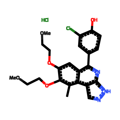 COCCOc1cc2c(-c3ccc(O)c(Cl)c3)nc3[nH]ncc3c2c(C)c1OCCOC.Cl